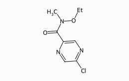 CCON(C)C(=O)c1cnc(Cl)cn1